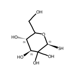 OCC1O[C@@H](S)C(O)(O)[C@@H](O)[C@@H]1O